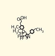 CCc1ccc(-c2nsc(C(F)(F)C(F)(F)F)c2COc2ccc(CCC(=O)O)c(C)c2C)cc1